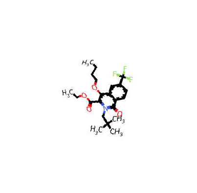 CCCCOc1c(C(=O)OCC)n(CC(C)(C)C)c(=O)c2ccc(C(F)(F)F)cc12